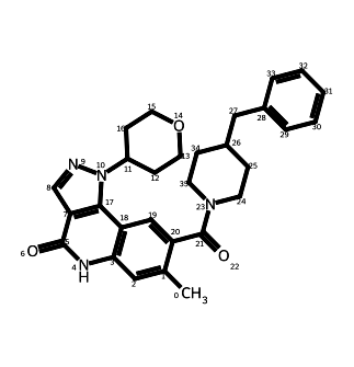 Cc1cc2[nH]c(=O)c3cnn(C4CCOCC4)c3c2cc1C(=O)N1CCC(Cc2ccccc2)CC1